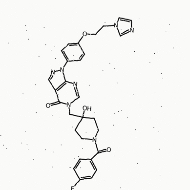 O=C(c1ccc(F)cc1)N1CCC(O)(Cn2cnc3c(cnn3-c3ccc(OCCn4ccnc4)cc3)c2=O)CC1